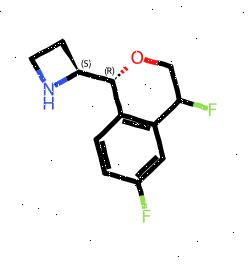 Fc1ccc2c(c1)C(F)CO[C@H]2[C@@H]1CCN1